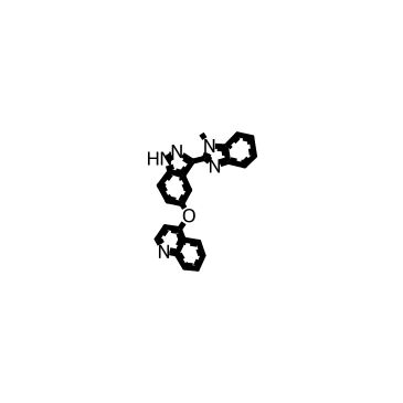 Cn1c(-c2n[nH]c3ccc(Oc4ccnc5ccccc45)cc23)nc2ccccc21